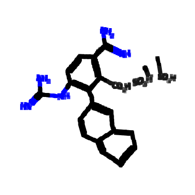 CS(=O)(=O)O.CS(=O)(=O)O.N=C(N)Nc1ccc(C(=N)N)c(C(=O)O)c1-c1ccc2ccccc2c1